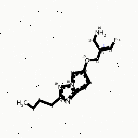 CCCCc1nc2ccc(OC/C(=C/F)CN)cn2n1